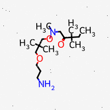 CCC(C)(C)C(=O)CN(C)OCC(C)(C)COCCCN